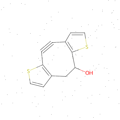 OC1Cc2ccsc2C#Cc2ccsc21